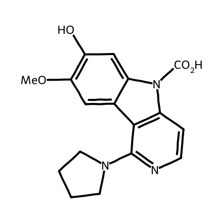 COc1cc2c3c(N4CCCC4)nccc3n(C(=O)O)c2cc1O